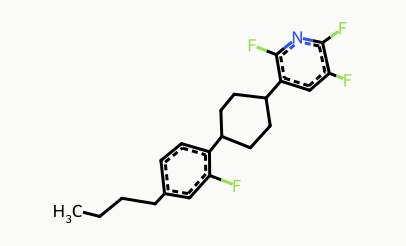 CCCCc1ccc(C2CCC(c3cc(F)c(F)nc3F)CC2)c(F)c1